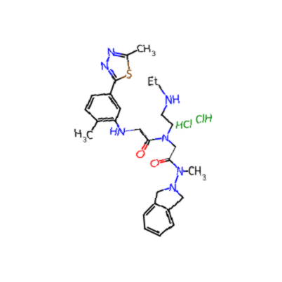 CCNCCN(CC(=O)N(C)N1Cc2ccccc2C1)C(=O)CNc1cc(-c2nnc(C)s2)ccc1C.Cl.Cl